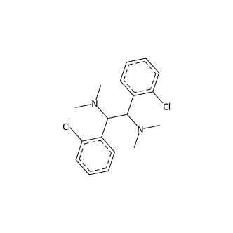 CN(C)C(c1ccccc1Cl)C(c1ccccc1Cl)N(C)C